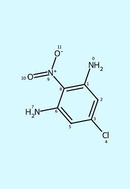 Nc1cc(Cl)cc(N)c1[N+](=O)[O-]